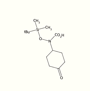 CC(C)(C)[Si](C)(C)ON(C(=O)O)C1CCC(=O)CC1